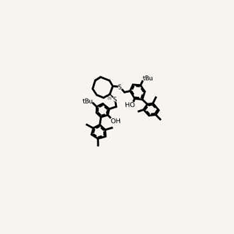 Cc1cc(C)c(-c2cc(C(C)(C)C)cc(CSC3CCCCCC[C@@H]3SCc3cc(C(C)(C)C)cc(-c4c(C)cc(C)cc4C)c3O)c2O)c(C)c1